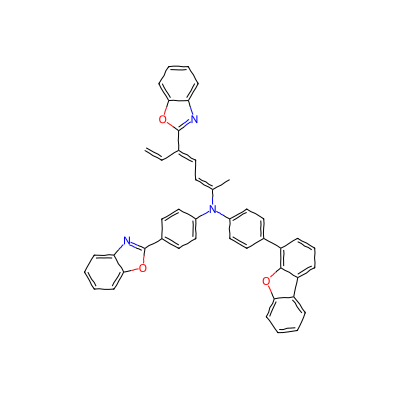 C=C/C(=C\C=C(/C)N(c1ccc(-c2nc3ccccc3o2)cc1)c1ccc(-c2cccc3c2oc2ccccc23)cc1)c1nc2ccccc2o1